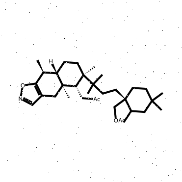 CC(=O)C[C@@H]1[C@@]2(C)Cc3cnoc3[C@@H](C)[C@@H]2CC[C@@]1(C)C(C)(C)CC[C@@]1(COC(C)=O)CCC(C)(C)CC1C